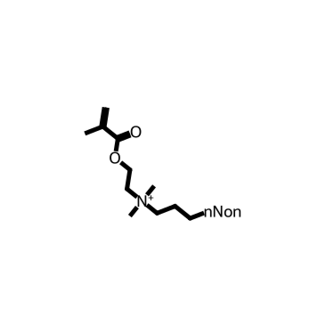 C=C(C)C(=O)OCC[N+](C)(C)CCCCCCCCCCCC